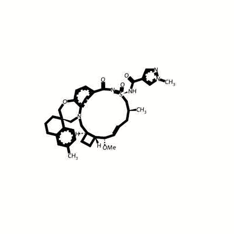 CO[C@H]1/C=C/C[C@H](C)C[S@@](=O)(NC(=O)c2cnn(C)c2)=NC(=O)c2ccc3c(c2)N(C[C@@H]2CC[C@H]21)C[C@@]1(CCCc2cc(C)ccc21)CO3